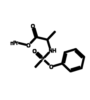 CCCOC(=O)C(C)NP(C)(=O)Oc1ccccc1